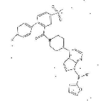 CS(=O)(=O)c1ccc(-c2ccc(F)cc2)c(C(=O)N2CCN(c3ccnc4c3ccn4[S+]([O-])c3ccco3)CC2)c1